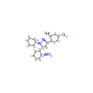 [2H]c1cc(OC)ccc1-c1cc(-c2ccccc2N)n(-c2ccccc2)n1